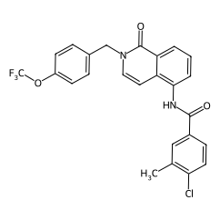 Cc1cc(C(=O)Nc2cccc3c(=O)n(Cc4ccc(OC(F)(F)F)cc4)ccc23)ccc1Cl